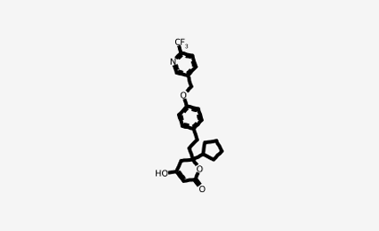 O=C1C=C(O)CC(CCc2ccc(OCc3ccc(C(F)(F)F)nc3)cc2)(C2CCCC2)O1